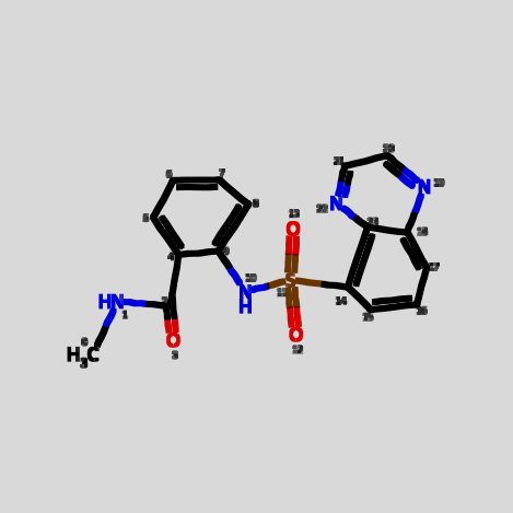 CNC(=O)c1ccccc1NS(=O)(=O)c1cccc2nccnc12